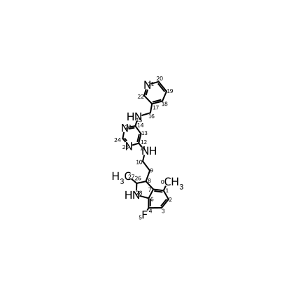 Cc1ccc(F)c2c1C(CCNc1cc(NCc3cccnc3)ncn1)C(C)N2